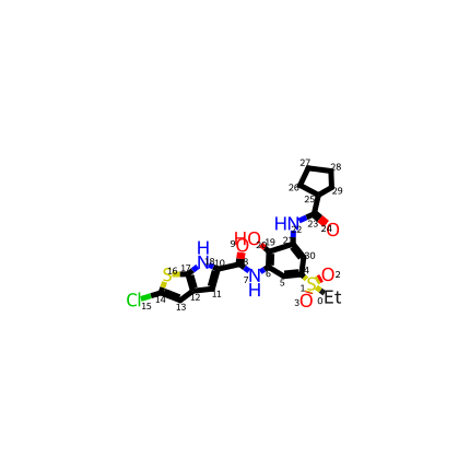 CCS(=O)(=O)c1cc(NC(=O)c2cc3cc(Cl)sc3[nH]2)c(O)c(NC(=O)C2CCCC2)c1